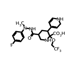 CN(NC(=O)C1CNC(OCC(F)(F)F)(C(=O)O)C(C2=CCNC=C2)C1)c1ccc(F)cc1